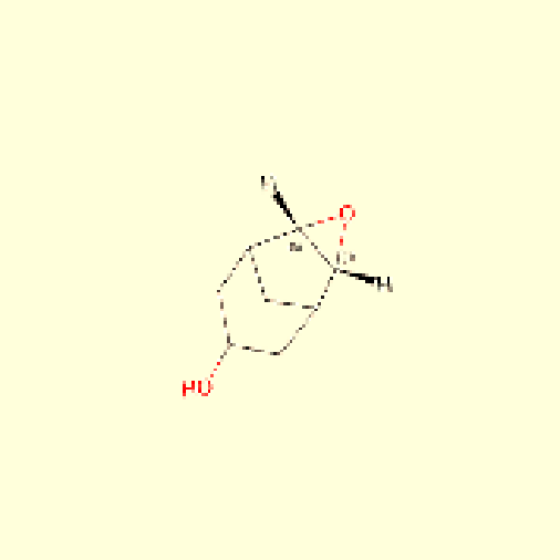 OC1CC2CC(C1)[C@@H]1O[C@H]21